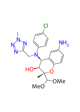 COC(OC)[C@@]1(C)Oc2ccc(N)cc2[C@H](N(Cc2nnn(C)n2)c2ccc(Cl)cc2)[C@@H]1O